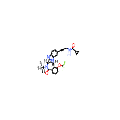 [2H]C([2H])([2H])N1C(=O)c2cccc(OC(F)F)c2[C@H]2C[C@@H]1c1nc3ccc(C#CCNC(=O)C4CC4)cc3n12